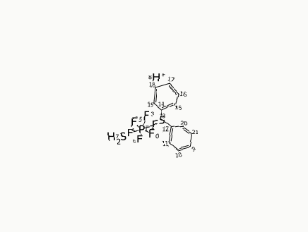 F[P-](F)(F)(F)(F)F.S.[H+].c1ccc(Sc2ccccc2)cc1